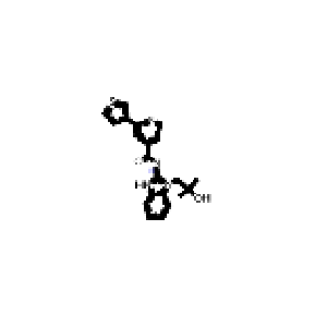 CC(C)(O)Cn1/c(=N/C(=O)c2ccnc(-c3ccsc3)c2)[nH]c2ccccc21